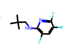 CC(C)(C)CNc1nc(F)c(F)cc1F